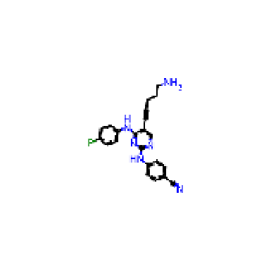 N#Cc1ccc(Nc2ncc(C#CCCCN)c(Nc3ccc(F)cc3)n2)cc1